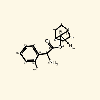 NC(C(=O)O[C@H]1CN2CCC1CC2)c1ccccc1F